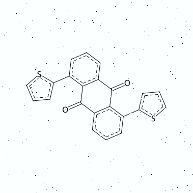 O=C1c2cccc(-c3cccs3)c2C(=O)c2cccc(-c3cccs3)c21